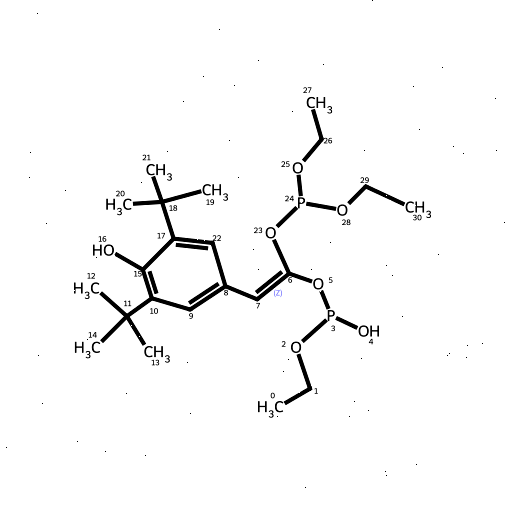 CCOP(O)O/C(=C/c1cc(C(C)(C)C)c(O)c(C(C)(C)C)c1)OP(OCC)OCC